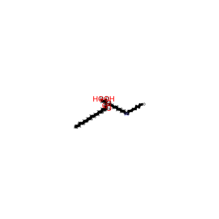 CCCCCCCC/C=C\CCCCCCCC(OCC(O)CO)OC(=O)CCCCCCCCCCCCCCCCC